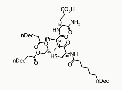 CCCCCCCCCCCCCCCC(=O)N[C@@H](CS)C(=O)N(C[C@H](COC(=O)CCCCCCCCCCC)OC(=O)CCCCCCCCCCC)[C@H](C(=O)N[C@H](CCC(=O)O)C(N)=O)C(C)C